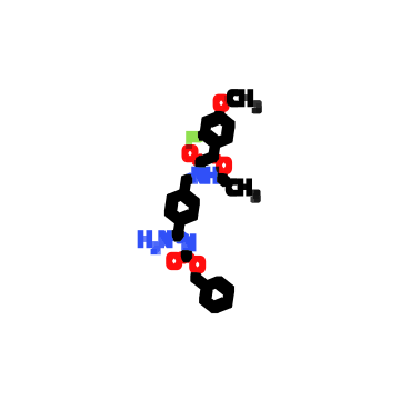 CCOC(C(=O)NCc1ccc(/C(N)=N/C(=O)OCc2ccccc2)cc1)c1ccc(OC)cc1F